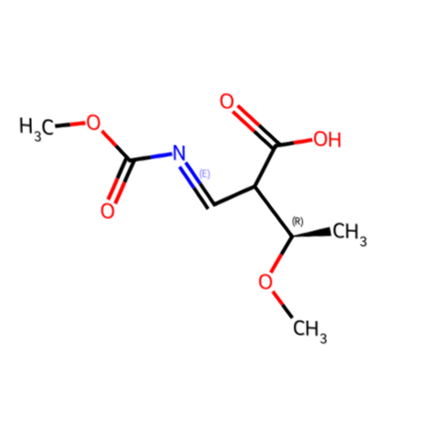 COC(=O)/N=C/C(C(=O)O)[C@@H](C)OC